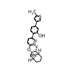 Cc1cc(-c2ccc(-c3ccc(O[C@@H]4C[C@H]5CCC[C@H](N5)[C@@H]4F)nn3)c(O)c2)cs1